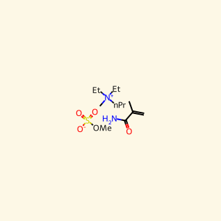 C=C(C)C(N)=O.CCC[N+](C)(CC)CC.COS(=O)(=O)[O-]